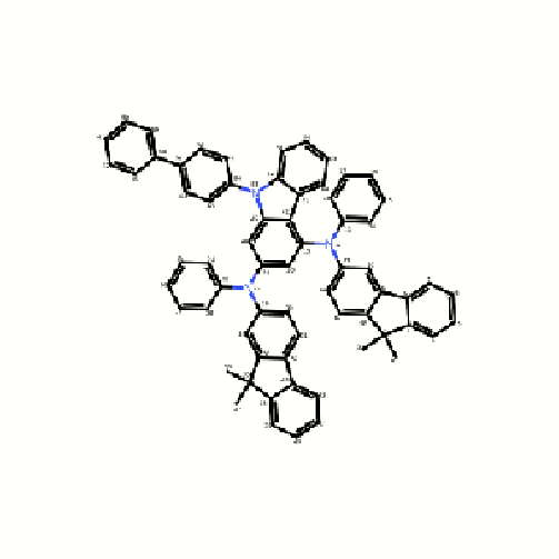 CC1(C)c2ccccc2-c2cc(N(c3ccccc3)c3cc(N(c4ccccc4)c4ccc5c(c4)C(C)(C)c4ccccc4-5)cc4c3c3ccccc3n4-c3ccc(-c4ccccc4)cc3)ccc21